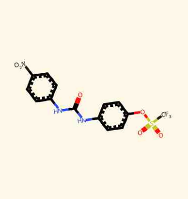 O=C(Nc1ccc(OS(=O)(=O)C(F)(F)F)cc1)Nc1ccc([N+](=O)[O-])cc1